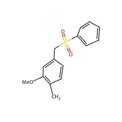 COc1cc(CS(=O)(=O)c2ccccc2)ccc1C